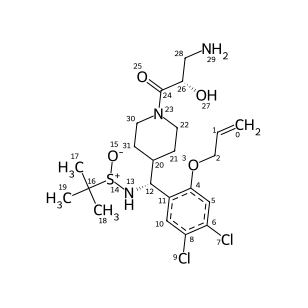 C=CCOc1cc(Cl)c(Cl)cc1[C@H](N[S+]([O-])C(C)(C)C)C1CCN(C(=O)[C@@H](O)CN)CC1